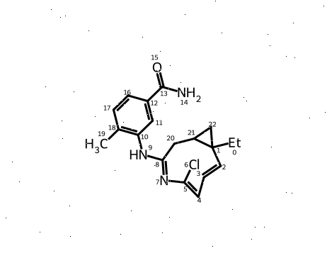 CCC12/C=C/C=C(Cl)/N=C(/Nc3cc(C(N)=O)ccc3C)CC1C2